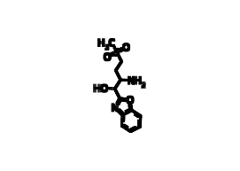 CS(=O)(=O)CCC(N)C(O)c1nc2ccccc2o1